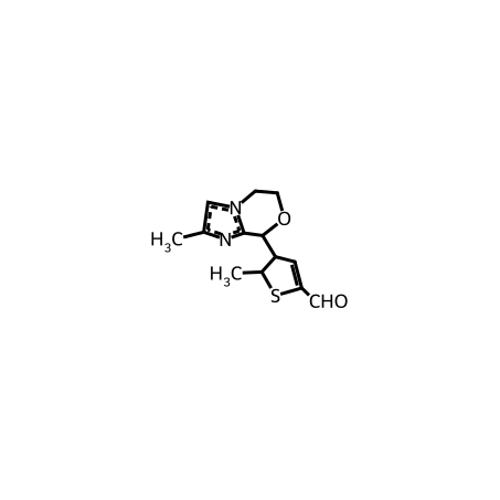 Cc1cn2c(n1)C(C1C=C(C=O)SC1C)OCC2